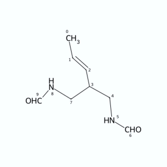 CC=CC(CNC=O)CNC=O